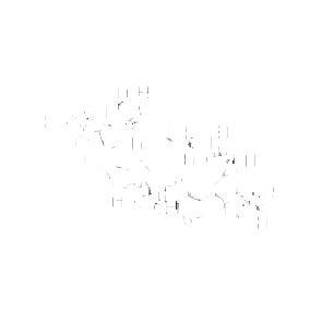 CCCC1(CCC)C2=Cc3c(-c4cc(C(C)(C)C)cc(C(C)(C)C)c4)cccc3[CH]2[Hf]([CH3])([CH3])[CH]2C1=Cc1c(-c3cc(C(C)(C)C)cc(C(C)(C)C)c3)cccc12